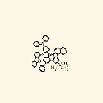 CC(C)(C)c1cc2c3c(c1)c1c4ccccc4ccc1n3B1c3ccc(N(c4ccccc4)c4ccccc4)cc3N(c3cccc4c3oc3ccccc34)c3cc(-c4ccccc4)cc-2c31